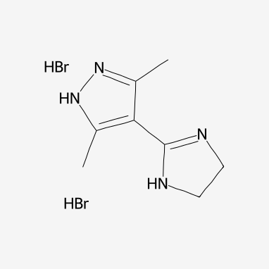 Br.Br.Cc1n[nH]c(C)c1C1=NCCN1